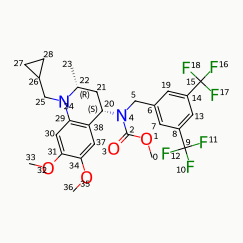 COC(=O)N(Cc1cc(C(F)(F)F)cc(C(F)(F)F)c1)[C@H]1C[C@@H](C)N(CC2CC2)c2cc(OC)c(OC)cc21